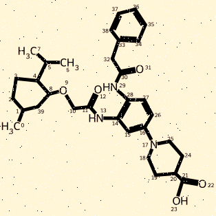 CC1CCC(C(C)C)C(OCC(=O)Nc2cc(N3CCC(C(=O)O)CC3)ccc2NC(=O)Cc2ccccc2)C1